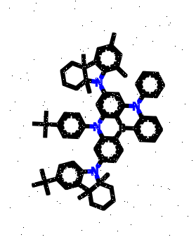 Cc1cc(C)c2c(c1)C1(C)CCCCC1(C)N2c1cc2c3c(c1)N(c1ccc(C(C)(C)C)cc1)c1cc(N4c5ccc(C(C)(C)C)cc5C5(C)CCCCC45C)ccc1B3c1ccccc1N2c1ccccc1